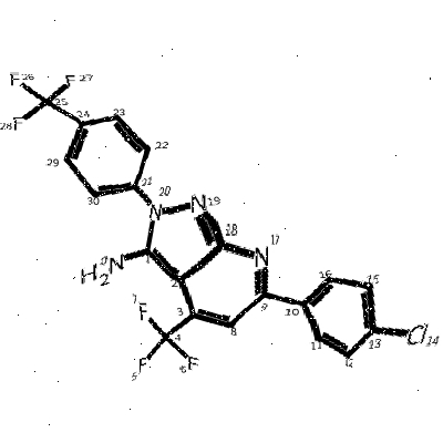 Nc1c2c(C(F)(F)F)cc(-c3ccc(Cl)cc3)nc2nn1-c1ccc(C(F)(F)F)cc1